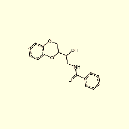 O=C(NCC(O)C1COc2ccccc2O1)c1ccccc1